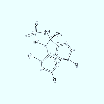 Cc1cc(Cl)ccc1[C@@H]1NS(=O)(=O)N[C@]1(C)c1ccc(Cl)nc1